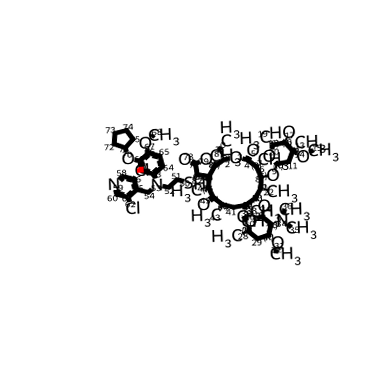 CC[C@H]1OC(=O)[C@H](C)[C@@H](O[C@H]2C[C@@](C)(OC)[C@@H](O)[C@H](C)O2)[C@H](C)[C@@H](O[C@@H]2O[C@H](C)C[C@@H](OC)[C@H]2N(C)C)[C@](C)(OC)C[C@@H](C)C(=O)[C@H](C)[C@H]2[C@H](SCCN(Cc3c(Cl)cncc3Cl)c3ccc(OC)c(OC4CCCC4)c3)C(=O)O[C@@]21C